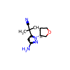 CC(C)(C#N)c1cc(N)nn1[C@@H]1CCOC1